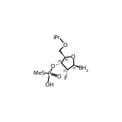 B[C@@H]1O[C@H](COC(C)C)[C@@H](OP(=O)(O)SC)[C@H]1F